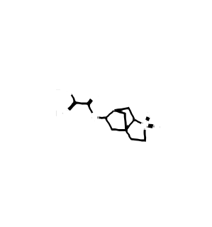 C=C(C)C(=O)OC1CC23CCS(=O)(=O)C2CC1C3